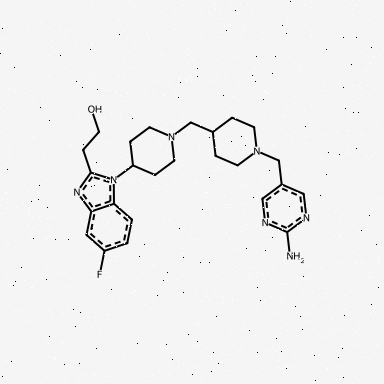 Nc1ncc(CN2CCC(CN3CCC(n4c(CCO)nc5cc(F)ccc54)CC3)CC2)cn1